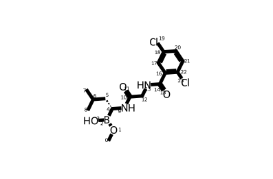 COB(O)[C@H](CC(C)C)NC(=O)CNC(=O)c1cc(Cl)ccc1Cl